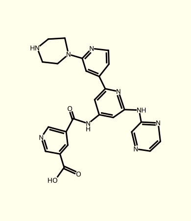 O=C(O)c1cncc(C(=O)Nc2cc(Nc3cnccn3)nc(-c3ccnc(N4CCNCC4)c3)c2)c1